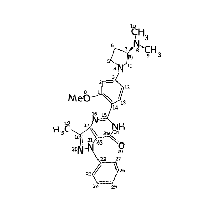 COc1cc(N2CC[C@@H](N(C)C)C2)ccc1-c1nc2c(C)nn(-c3ccccc3)c2c(=O)[nH]1